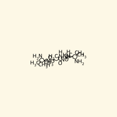 Cc1[nH]c(NC(=O)NCC2(C)CC(N)CC(C)(C)C2)nc(=O)c1CCOC(=O)NCC1(C)CC(N)CC(C)(C)C1